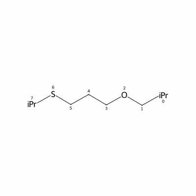 CC(C)COCCCSC(C)C